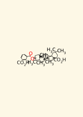 CC1(C)CC[C@]2(C(=O)O)CC[C@]3(C)C(=C2C1)CCC1[C@@]2(C)CC[C@H](OC(=O)c4ccccc4C(=O)O)C(C)(C)C2CC[C@]13C